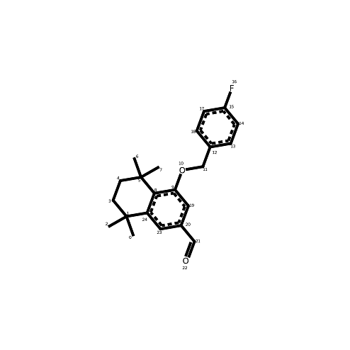 CC1(C)CCC(C)(C)c2c(OCc3ccc(F)cc3)cc(C=O)cc21